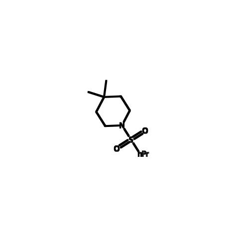 CCCS(=O)(=O)N1CCC(C)(C)CC1